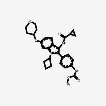 CC(C)OC(=O)Nc1ccc(-c2c(NC(=O)C3CC3)c3ccc(OC4CCOCC4)cc3n2C2CCC2)cc1